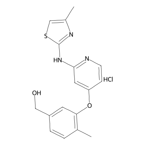 Cc1csc(Nc2cc(Oc3cc(CO)ccc3C)ccn2)n1.Cl